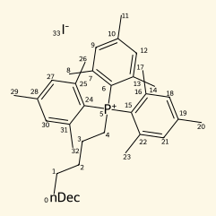 CCCCCCCCCCCCCC[P+](c1c(C)cc(C)cc1C)(c1c(C)cc(C)cc1C)c1c(C)cc(C)cc1C.[I-]